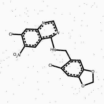 O=[N+]([O-])c1cc2c(NCc3cc4c(cc3Cl)OCO4)ncnc2cc1Cl